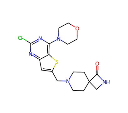 O=C1NCC12CCN(Cc1cc3nc(Cl)nc(N4CCOCC4)c3s1)CC2